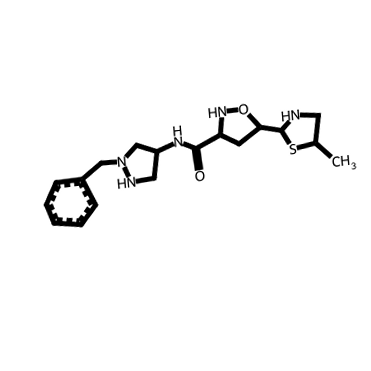 CC1CNC(C2CC(C(=O)NC3CNN(Cc4ccccc4)C3)NO2)S1